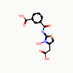 O=C(O)Cc1csc(=NC(=O)c2cccc(C(=O)O)c2)n1O